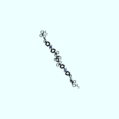 C=CC(=O)OCCOc1ccc(/N=N/c2ccc(C(=O)O[C@H]3COC4C3OC[C@H]4OC(=O)c3ccc(/N=N/c4ccc(OCCOC(=O)C=C)cc4)cc3)cc2)cc1